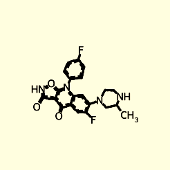 CC1CN(c2cc3c(cc2F)c(=O)c2c(=O)[nH]oc2n3-c2ccc(F)cc2)CCN1